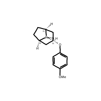 COc1ccc(O[C@@H]2C[C@H]3CC[C@@H](C2)N3C(=O)O)cc1